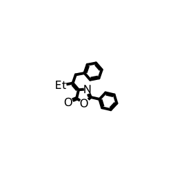 CCC(Cc1ccccc1)=C1N=C(c2ccccc2)OC1=O